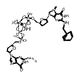 CN1CN([C@H]2CC[C@@H](COP(=O)(O)OP(=O)(O)OP(=O)(O)OP(=O)(O)OC[C@@H]3CC[C@H](n4cnc5c(=O)[nH]c(N)nc54)O3)O2)c2nc(NCc3ccccc3)[nH]c(=O)c21